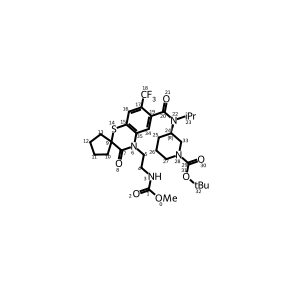 COC(=O)NCCN1C(=O)C2(CCCC2)Sc2cc(C(F)(F)F)c(C(=O)N(C(C)C)[C@@H]3CCCN(C(=O)OC(C)(C)C)C3)cc21